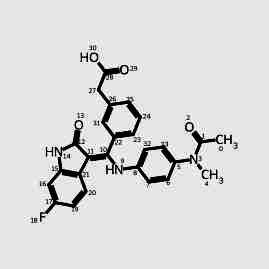 CC(=O)N(C)c1ccc(NC(=C2C(=O)Nc3cc(F)ccc32)c2cccc(CC(=O)O)c2)cc1